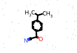 CC(C)c1ccc(C(=O)C#N)cc1